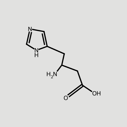 NC(CC(=O)O)Cc1cnc[nH]1